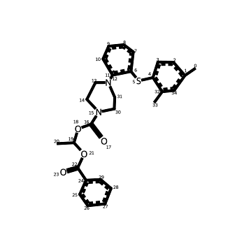 Cc1ccc(Sc2ccccc2N2CCN(C(=O)OC(C)OC(=O)c3ccccc3)CC2)c(C)c1